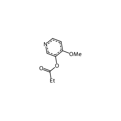 CCC(=O)Oc1cnccc1OC